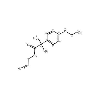 C=CCOC(=O)C(C)(C)c1ccc(OCC)cc1